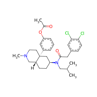 CC(=O)Oc1cccc([C@@]23CCN(C)C[C@H]2CC[C@H](N(CC(C)C)C(=O)Cc2ccc(Cl)c(Cl)c2)C3)c1